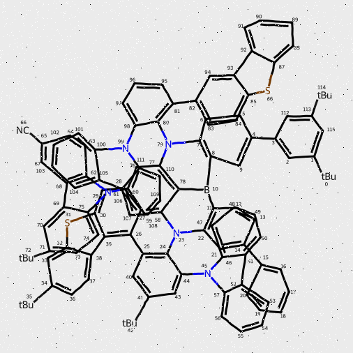 CC(C)(C)c1cc(-c2ccc3c(c2)B2c4ccc(-c5ccccc5)cc4N(c4c(-c5cccc6sc7cc(C(C)(C)C)ccc7c56)cc(C(C)(C)C)cc4-n4c5ccccc5c5ccccc54)c4cc(-n5c6ccc(C#N)cc6c6cc(C(C)(C)C)ccc65)cc(c42)N3c2c(-c3ccc4sc5ccccc5c4c3)cccc2-n2c3ccccc3c3ccccc32)cc(C(C)(C)C)c1